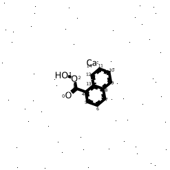 O=C(OO)c1cccc2ccccc12.[Ca]